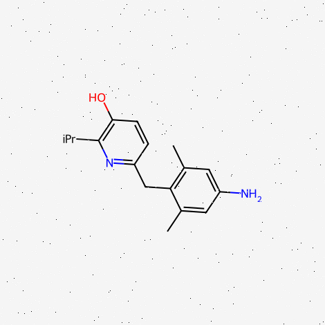 Cc1cc(N)cc(C)c1Cc1ccc(O)c(C(C)C)n1